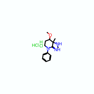 CNC1(C)C(=N)N(c2ccccc2)CCC1OC.Cl.Cl